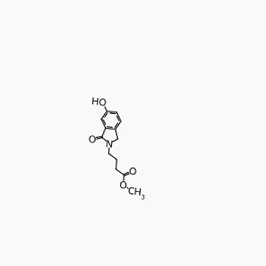 COC(=O)CCCN1Cc2ccc(O)cc2C1=O